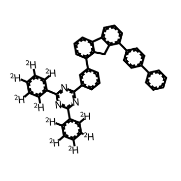 [2H]c1c([2H])c([2H])c(-c2nc(-c3cccc(-c4cccc5c4Cc4c(-c6ccc(-c7ccccc7)cc6)cccc4-5)c3)nc(-c3c([2H])c([2H])c([2H])c([2H])c3[2H])n2)c([2H])c1[2H]